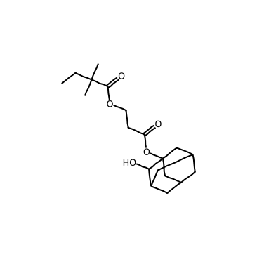 CCC(C)(C)C(=O)OCCC(=O)OC12CC3CC(CC(C3)C1O)C2